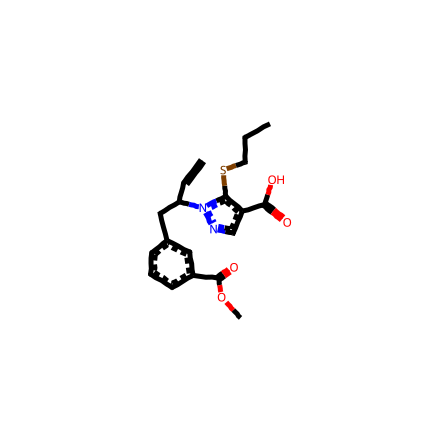 C=CC(Cc1cccc(C(=O)OC)c1)n1ncc(C(=O)O)c1SCCC